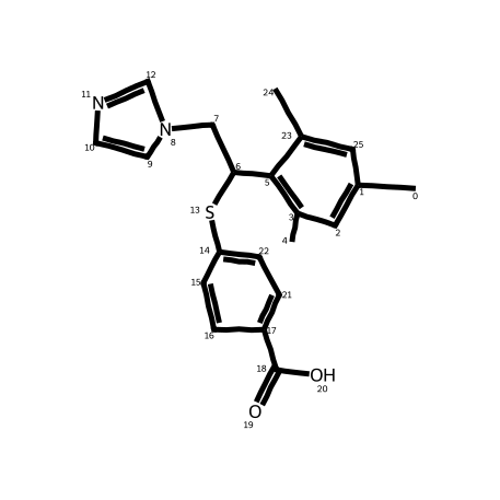 Cc1cc(C)c(C(Cn2ccnc2)Sc2ccc(C(=O)O)cc2)c(C)c1